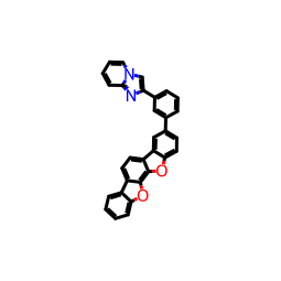 c1cc(-c2ccc3oc4c(ccc5c6ccccc6oc54)c3c2)cc(-c2cn3ccccc3n2)c1